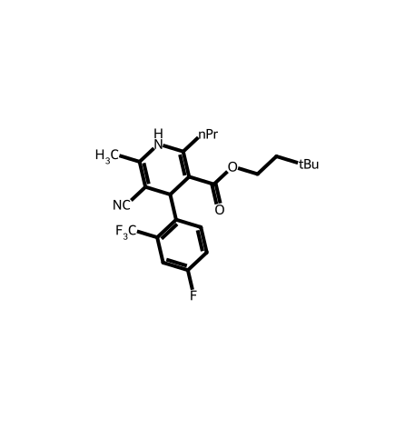 CCCC1=C(C(=O)OCCC(C)(C)C)C(c2ccc(F)cc2C(F)(F)F)C(C#N)=C(C)N1